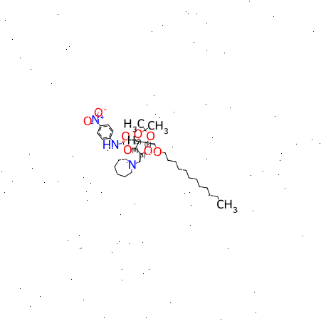 CCCCCCCCCCCCOC[C@@]12O[C@@H](CN3CCCCCC3)[C@@H](OC(=O)Nc3ccc([N+](=O)[O-])cc3)[C@@H]1OC(C)(C)O2